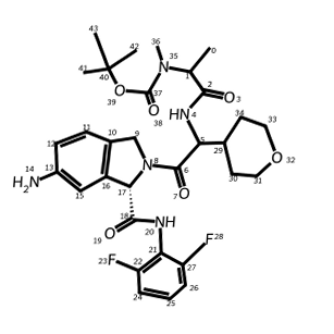 CC(C(=O)NC(C(=O)N1Cc2ccc(N)cc2[C@H]1C(=O)Nc1c(F)cccc1F)C1CCOCC1)N(C)C(=O)OC(C)(C)C